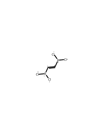 ClB(Cl)C=CB(Cl)Cl